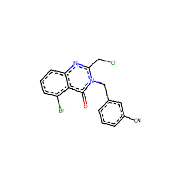 N#Cc1cccc(Cn2c(CCl)nc3cccc(Br)c3c2=O)c1